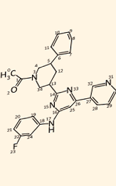 CC(=O)N1CC(c2ccccc2)CC(c2nc(Nc3cccc(F)c3)cc(-c3cccnc3)n2)C1